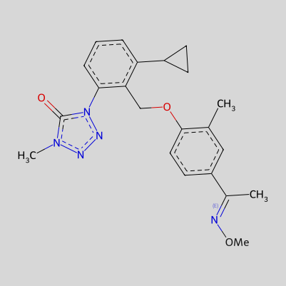 CO/N=C(\C)c1ccc(OCc2c(C3CC3)cccc2-n2nnn(C)c2=O)c(C)c1